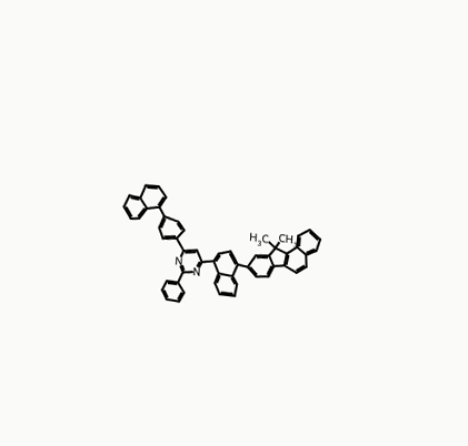 CC1(C)c2cc(-c3ccc(-c4cc(-c5ccc(-c6cccc7ccccc67)cc5)nc(-c5ccccc5)n4)c4ccccc34)ccc2-c2ccc3ccccc3c21